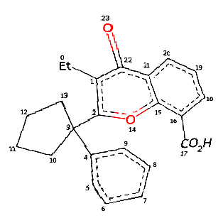 CCc1c(C2(c3ccccc3)CCCC2)oc2c(C(=O)O)cccc2c1=O